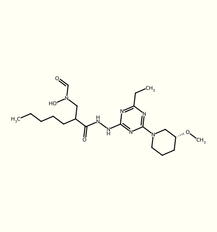 CCCCCC(CN(O)C=O)C(=O)NNc1nc(CC)nc(N2CCC[C@@H](OC)C2)n1